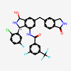 O=C(Nc1cc(Cc2ccc3c(c2)CNC3=O)cc2c1[C@@H](c1cc(F)ccc1Cl)NC2O)c1cc(F)cc(C(F)(F)F)c1